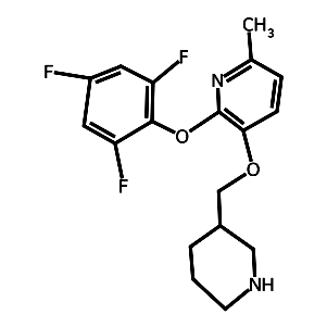 Cc1ccc(OCC2CCCNC2)c(Oc2c(F)cc(F)cc2F)n1